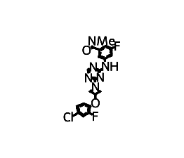 CNC(=O)c1cc(F)cc(Nc2ncnc(N3CC(Oc4ccc(Cl)cc4F)C3)n2)c1